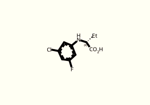 [CH2]C[C@@H](Nc1cc(F)cc(Cl)c1)C(=O)O